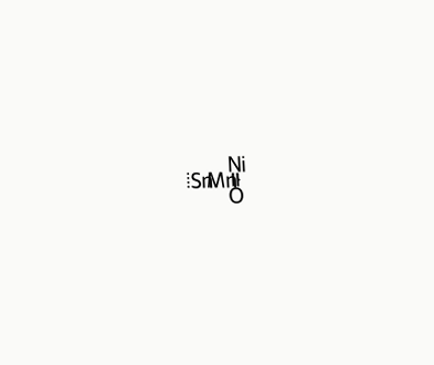 [Mn].[O]=[Ni].[Sn]